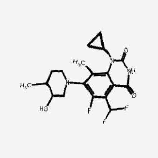 Cc1c(N2CCC(C)C(O)C2)c(F)c(C(F)F)c2c(=O)[nH]c(=O)n(C3CC3)c12